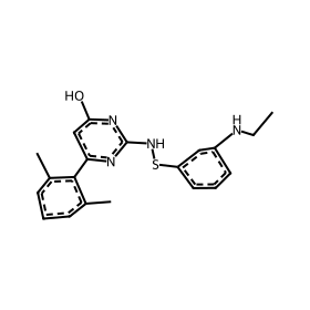 CCNc1cccc(SNc2nc(O)cc(-c3c(C)cccc3C)n2)c1